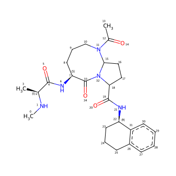 CN[C@@H](C)C(=O)N[C@H]1CCCN(C(C)=O)C2CCC(C(=O)N[C@@H]3CCCc4ccccc43)N2C1=O